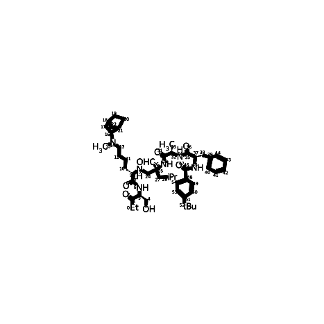 CCC(=O)[C@H](CO)NC(=O)[C@H](CCCCN(C)C1CC2CCC1C2)NC[C@@](C=O)(CC(C)C)NC(=O)[C@H](C)NC(=O)[C@H](Cc1ccccc1)NC(=O)c1ccc(C(C)(C)C)cc1